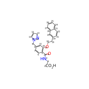 O=C(O)CNC(=O)c1ccc(Cn2cccn2)cc1OCCc1ccc2ccccc2c1